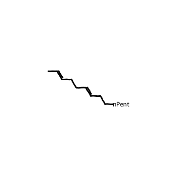 [CH2]CCCCCCC=CCCC=CC